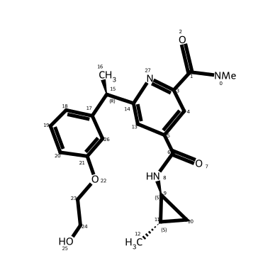 CNC(=O)c1cc(C(=O)N[C@H]2C[C@@H]2C)cc([C@H](C)c2cccc(OCCO)c2)n1